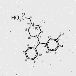 C[C@@H]1CN(C(c2ccccc2)c2cccc(I)c2)CCN1CC(=O)O